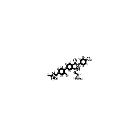 COc1ccc(NC(=O)c2ccc(-c3ccc(-c4noc(C)n4)cc3C)cc2[S+]([O-])CCN(C)C)cc1